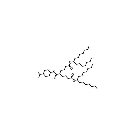 CCCCCCCC(CCCCCCC)OC(=O)CCCC(CCCC(=O)OC(CCCCCCC)CCCCCCC)C(=O)SC1CCC(C(C)C)CC1